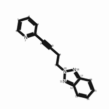 C(#Cc1ccc[c]n1)CCn1nc2ccccc2n1